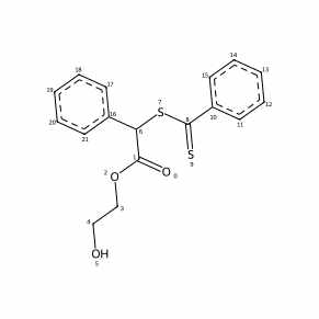 O=C(OCCO)C(SC(=S)c1ccccc1)c1ccccc1